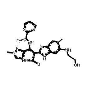 CC[C@H](Nc1c(-c2nc3cc(C)c(NCCO)cc3[nH]2)c(=O)[nH]c2cn(C)nc12)c1ncccn1